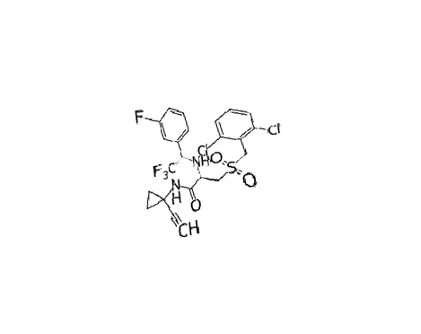 C#CC1(NC(=O)[C@H](CS(=O)(=O)Cc2c(Cl)cccc2Cl)N[C@@H](c2cccc(F)c2)C(F)(F)F)CC1